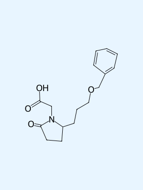 O=C(O)CN1C(=O)CCC1CCCOCc1ccccc1